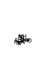 CC1(NS(=O)(=O)c2cc(N3CCC(P(C)(C)=O)CC3)c3ncc(-c4nnc(C(F)F)s4)n3c2)CC1